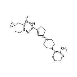 Cc1ncccc1N1CCN([C@H]2C=C(c3nc4c(c(=O)[nH]3)CC3(CC4)CC3)CC2)CC1